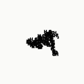 CC[C@H](C)[C@@H]([C@@H](CC(=O)N1CCC[C@H]1[C@H](OC)[C@@H](C)C(=O)N[C@@H](Cc1ccccc1)c1nnc(-c2ccccc2)o1)OC)N(C)C(=O)[C@@H](NC(=O)[C@H](C(C)C)N(C)CCOCCOCCOCCC(=O)O)C(C)C